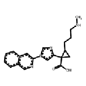 CNCCCC1CC1(C(=O)O)c1cn(-c2cc3ccccc3cn2)cn1